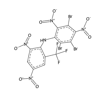 O=[N+]([O-])c1cc([N+](=O)[O-])c(Nc2c(Br)c(Br)c([N+](=O)[O-])c(Br)c2[N+](=O)[O-])c(C(F)(F)F)c1